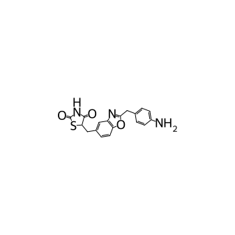 Nc1ccc(Cc2nc3cc(CC4SC(=O)NC4=O)ccc3o2)cc1